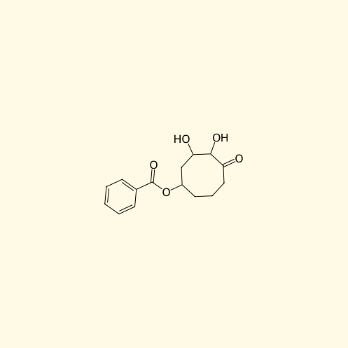 O=C(OC1CCCC(=O)C(O)C(O)C1)c1ccccc1